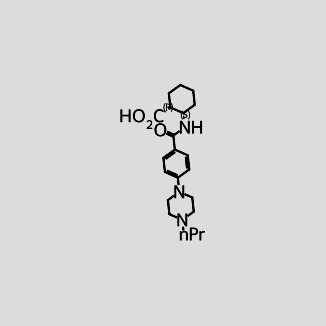 CCCN1CCN(c2ccc(C(=O)N[C@H]3CCCC[C@H]3C(=O)O)cc2)CC1